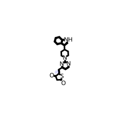 O=C1CC(=O)/C(=C/c2ccnc(N3CCC(c4c[nH]c5ccccc45)CC3)n2)S1